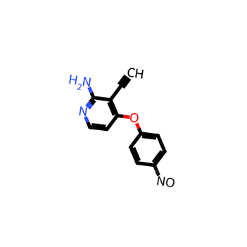 C#Cc1c(Oc2ccc(N=O)cc2)ccnc1N